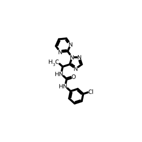 CC(NC(=O)Nc1cccc(Cl)c1)c1ncnn1-c1ncccn1